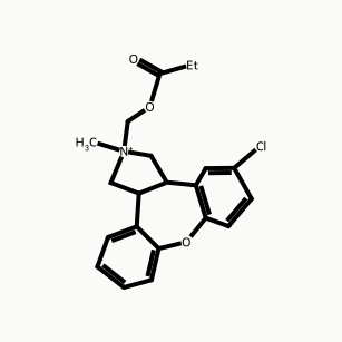 CCC(=O)OC[N+]1(C)CC2c3ccccc3Oc3ccc(Cl)cc3C2C1